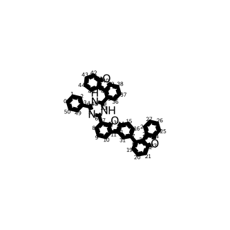 c1ccc(C2=NC(c3cccc4c3oc3ccc(-c5cccc6oc7ccccc7c56)cc34)NC(c3cccc4oc5ccccc5c34)N2)cc1